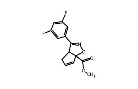 COC(=O)C12C=CCC1C(c1cc(F)cc(F)c1)=NO2